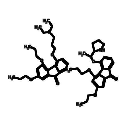 CCCOc1cc(OCCC)c2c(c1)C(=O)c1cccc(OC(C)C3CCCN3)c1-2.CCCOc1cc(OCCC)c2c(c1)C(=O)c1cccc(OCCCN(CC)CC)c1-2